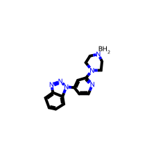 BN1CCN(c2cc(-n3nnc4ccccc43)ccn2)CC1